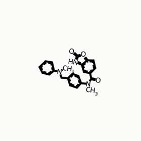 CN(Cc1ccc(N(C)C(=O)c2ccc3oc(=O)[nH]c3c2)cc1)c1ccccc1